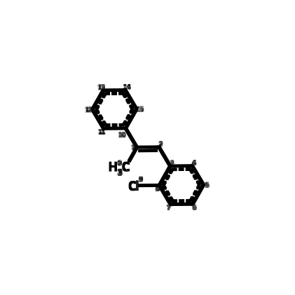 CC(=Cc1ccccc1Cl)c1ccccc1